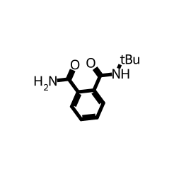 CC(C)(C)NC(=O)c1ccccc1C(N)=O